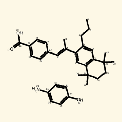 CCCc1cc2c(cc1/C(C)=C/c1ccc(C(=O)O)cc1)C(C)(C)CCC2(C)C.Nc1ccc(O)cc1